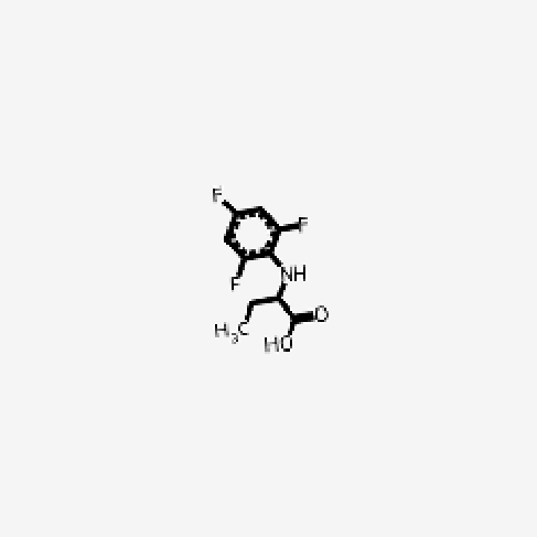 CCC(Nc1c(F)cc(F)cc1F)C(=O)O